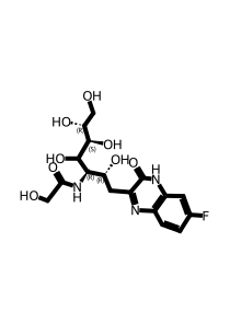 O=C(CO)N[C@@H](C(O)[C@H](O)[C@H](O)CO)[C@H](O)Cc1nc2ccc(F)cc2[nH]c1=O